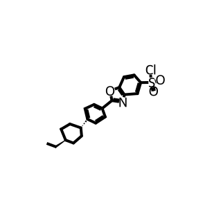 CC[C@H]1CC[C@H](c2ccc(-c3nc4cc(S(=O)(=O)Cl)ccc4o3)cc2)CC1